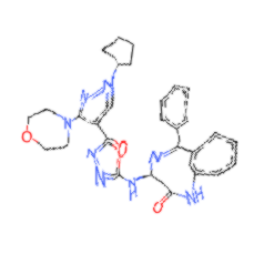 O=C1Nc2ccccc2C(c2ccccc2)=N[C@@H]1Nc1nnc(-c2cn(C3CCCC3)nc2N2CCOCC2)o1